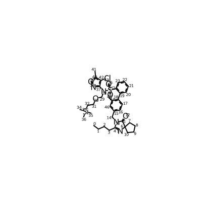 CCCCC1=NC2(CCCC2)C(=O)N1Cc1ccc(-c2ccccc2S(=O)(=O)N(COCC[Si](C)(C)C)c2noc(C)c2Cl)c(C)c1